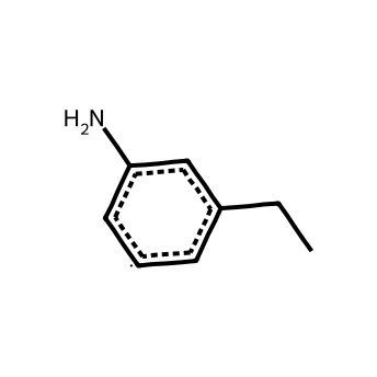 CCc1c[c]cc(N)c1